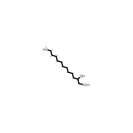 [CH2]CCCCCCCCC(O)CCCCCCCCCCO